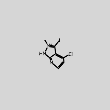 C[n+]1[nH]c2nccc(Cl)c2c1I